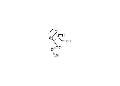 CC(C)(C)OC(=O)N1C2CCC(CC2)[C@@H]1CO